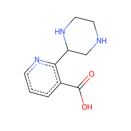 O=C(O)c1cccnc1C1CNCCN1